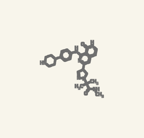 CNC(=O)C(C)(C)N1CC(c2cc3cc[nH]c(=O)c3c(Nc3ccc(C4CCNCC4)cc3)n2)C=N1